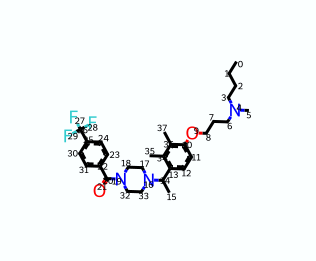 CCCCN(C)CCCOc1ccc(C(C)N2CCN(C(=O)c3ccc(C(F)(F)F)cc3)CC2)c(C)c1C